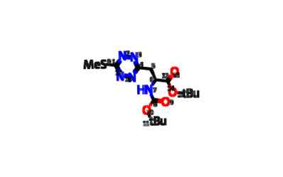 CSc1nnc(C[C@H](NC(=O)OC(C)(C)C)C(=O)OC(C)(C)C)nn1